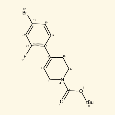 CC(C)(C)OC(=O)N1CC=C(c2ccc(Br)cc2F)CC1